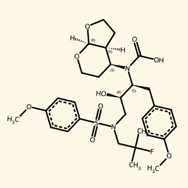 COc1ccc(C[C@@H]([C@H](O)CN(CC(C)(C)F)S(=O)(=O)c2ccc(OC)cc2)N(C(=O)O)[C@H]2CCO[C@H]3OCC[C@H]32)cc1